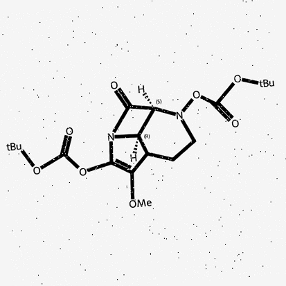 COC1=C(OC(=O)OC(C)(C)C)N2C(=O)[C@@H]3[C@H]2C1CCN3OC(=O)OC(C)(C)C